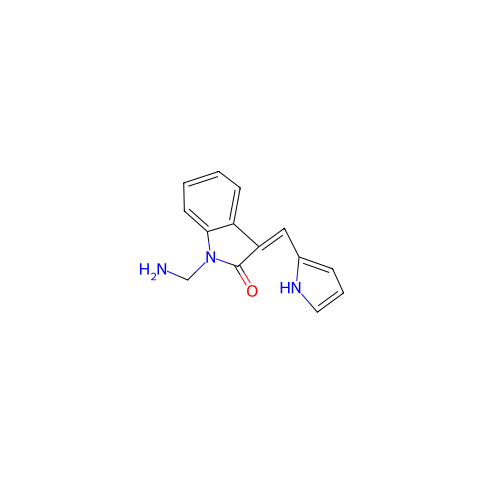 NCN1C(=O)C(=Cc2ccc[nH]2)c2ccccc21